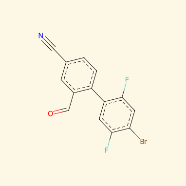 N#Cc1ccc(-c2cc(F)c(Br)cc2F)c(C=O)c1